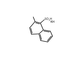 Cc1ccc2ccccc2c1S(=O)(=O)O.[KH]